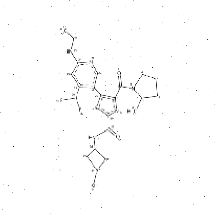 CC1CCCN1C(=O)c1nc(C(=O)NC2C[S+]([O-])C2)sc1-c1cnc(NCC(F)(F)F)cc1C(F)F